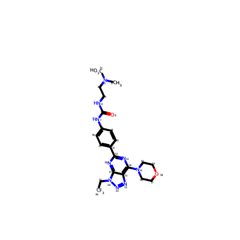 CN(CCNC(=O)Nc1ccc(-c2nc(N3CCOCC3)c3nnn(CC(F)(F)F)c3n2)cc1)C(=O)O